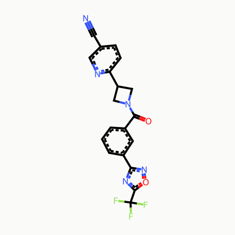 N#Cc1ccc(C2CN(C(=O)c3cccc(-c4noc(C(F)(F)F)n4)c3)C2)nc1